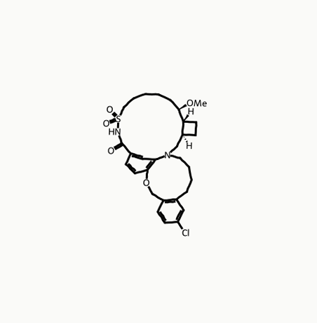 CO[C@@H]1CCCCCS(=O)(=O)NC(=O)c2ccc3c(c2)N(CCCCc2cc(Cl)ccc2CO3)C[C@@H]2CC[C@H]21